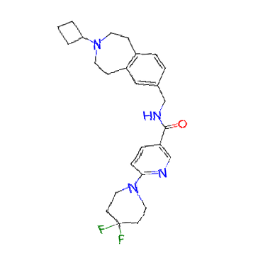 O=C(NCc1ccc2c(c1)CCN(C1CCC1)CC2)c1ccc(N2CCC(F)(F)CC2)nc1